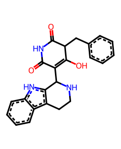 O=C1NC(=O)C(Cc2ccccc2)C(O)=C1C1NCCc2c1[nH]c1ccccc21